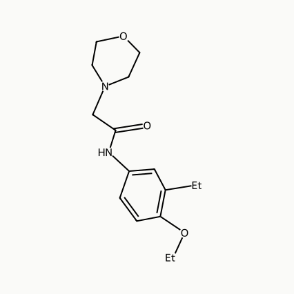 CCOc1ccc(NC(=O)CN2CCOCC2)cc1CC